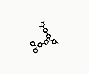 Cc1ccc(-n2c3ccc(-c4ccc(C(CC(C)C)C(C)(C)C)cc4)cc3c3cc(-c4ccc(N(c5ccccc5)c5ccccc5)cc4)ccc32)cc1